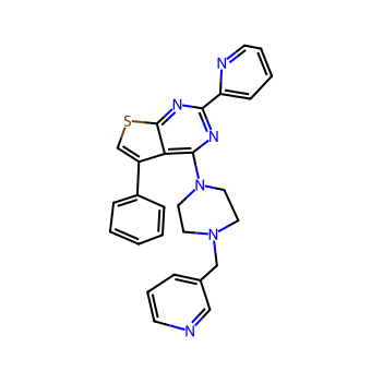 c1ccc(-c2csc3nc(-c4ccccn4)nc(N4CCN(Cc5cccnc5)CC4)c23)cc1